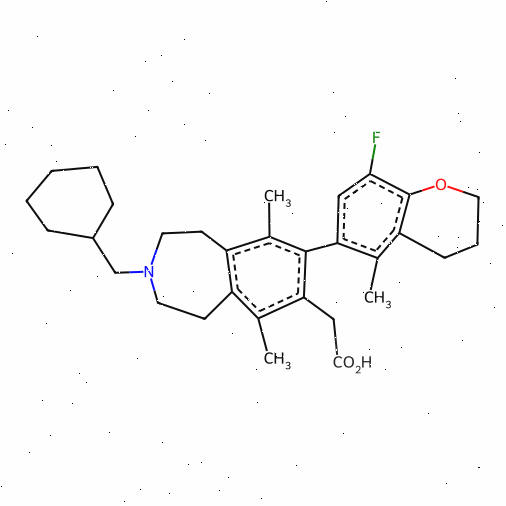 Cc1c(-c2c(C)c3c(c(C)c2CC(=O)O)CCN(CC2CCCCC2)CC3)cc(F)c2c1CCCO2